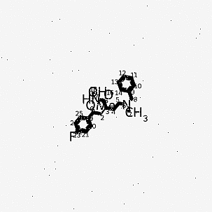 CO[C@H](C[C@H](CCN(C)Cc1ccccc1)C(=O)NO)c1ccc(F)cc1